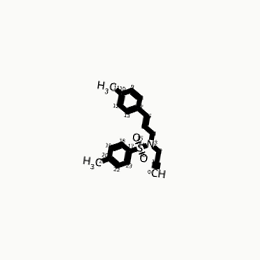 C#CCN(CC=Cc1ccc(C)cc1)S(=O)(=O)c1ccc(C)cc1